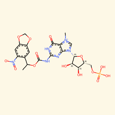 CC(OC(=O)Nc1nc2c(c(=O)[nH]1)[n+](C)cn2[C@@H]1O[C@H](COP(=O)(O)O)[C@@H](O)[C@H]1O)c1cc2c(cc1[N+](=O)[O-])OCO2